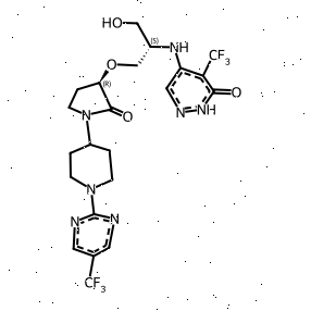 O=C1[C@H](OC[C@H](CO)Nc2cn[nH]c(=O)c2C(F)(F)F)CCN1C1CCN(c2ncc(C(F)(F)F)cn2)CC1